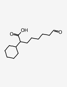 O=CCCCCCC(C(=O)O)C1CCCCC1